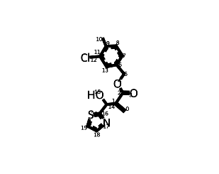 C=C(C(=O)OCc1ccc(C)c(Cl)c1)C(O)c1nccs1